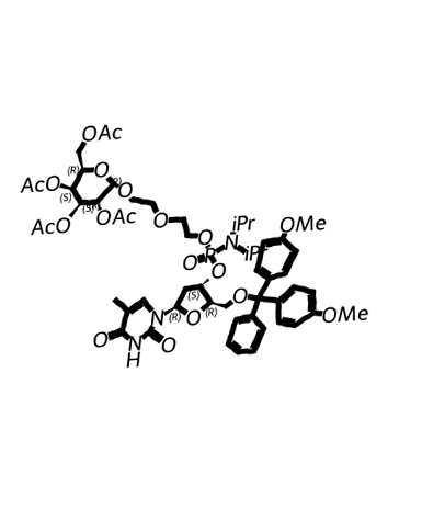 COc1ccc(C(OC[C@H]2O[C@@H](n3cc(C)c(=O)[nH]c3=O)C[C@@H]2OP(=O)(OCCOCCO[C@@H]2O[C@H](COC(C)=O)[C@H](OC(C)=O)[C@H](OC(C)=O)[C@H]2OC(C)=O)N(C(C)C)C(C)C)(c2ccccc2)c2ccc(OC)cc2)cc1